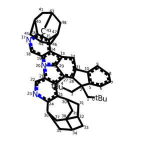 CC(C)(C)CC1(CC(C)(C)C)c2ccccc2-c2cc3c4c5c(ncc4n4c6cnc7c(c6c(c21)c34)C1CC2CC3CC7CC32C1)C1CC2CC(C1)CC5C2